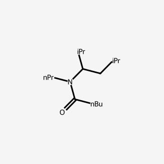 CCCCC(=O)N(CCC)C(CC(C)C)C(C)C